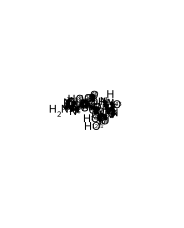 Nc1nc2c(ncn2[C@@H]2O[C@H](CO)[C@@H](O)[C@H]2OP(=O)(O)OC[C@H]2O[C@@H](c3cnc4c(N)ncnn34)[C@H](O)[C@@H]2O[PH](=O)O)c(=O)[nH]1